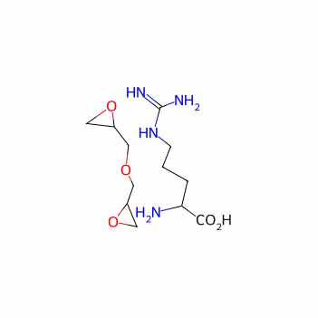 C(OCC1CO1)C1CO1.N=C(N)NCCCC(N)C(=O)O